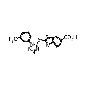 O=C(O)c1ccc2nc(Sc3nnnn3-c3cccc(C(F)(F)F)c3)sc2c1